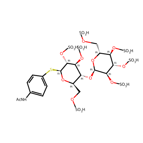 CC(=O)Nc1ccc(S[C@@H]2O[C@H](COS(=O)(=O)O)[C@@H](O[C@H]3O[C@H](COS(=O)(=O)O)[C@@H](OS(=O)(=O)O)[C@H](OS(=O)(=O)O)[C@H]3OS(=O)(=O)O)[C@H](OS(=O)(=O)O)[C@H]2OS(=O)(=O)O)cc1